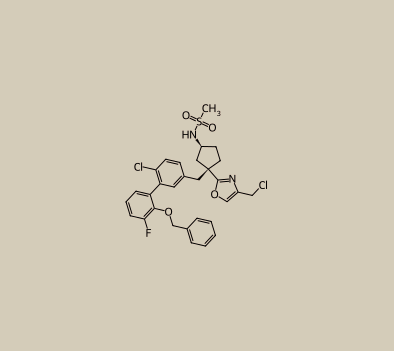 CS(=O)(=O)N[C@H]1CC[C@](Cc2ccc(Cl)c(-c3cccc(F)c3OCc3ccccc3)c2)(c2nc(CCl)co2)C1